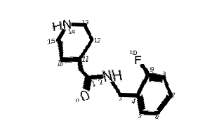 O=C(NCc1ccccc1F)C1CCNCC1